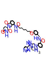 Cn1c(CNc2cccc(C(=O)NCc3cccc(OCCCCCCC(=O)Nc4cccc5c4CN(C4CCC(=O)NC4=O)C5=O)c3)c2)nnc1-c1ccncn1